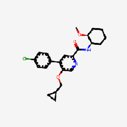 CO[C@H]1CCCC[C@H]1NC(=O)c1cc(-c2ccc(Cl)cc2)c(OCC2CC2)cn1